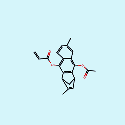 C=CC(=O)Oc1c2c(c(OC(C)=O)c3cc(C)ccc13)C1C=C(C)C2C1